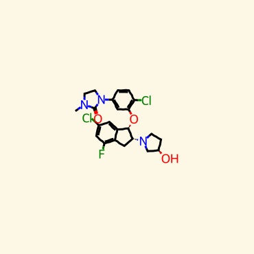 CN1CCN(c2ccc(Cl)c(O[C@H]3c4cc(Cl)cc(F)c4C[C@H]3N3CC[C@@H](O)C3)c2)C1=O